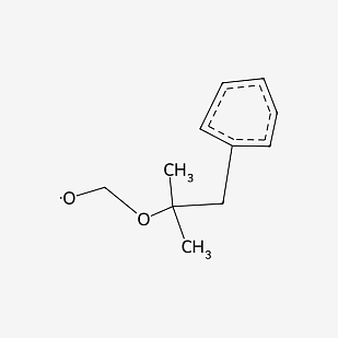 CC(C)(Cc1ccccc1)OC[O]